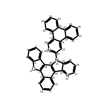 c1ccc2c(c1)oc1c3ccccc3c3c4ncccc4n(-c4cc5c6ccccc6c6ccccc6c5cn4)c3c21